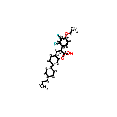 CCC[C@H]1CC[C@H]([C@H]2CC[C@H](CC(C(=O)O)c3ccc(OCC)c(F)c3F)CC2)CC1